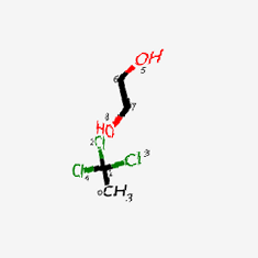 CC(Cl)(Cl)Cl.OCCO